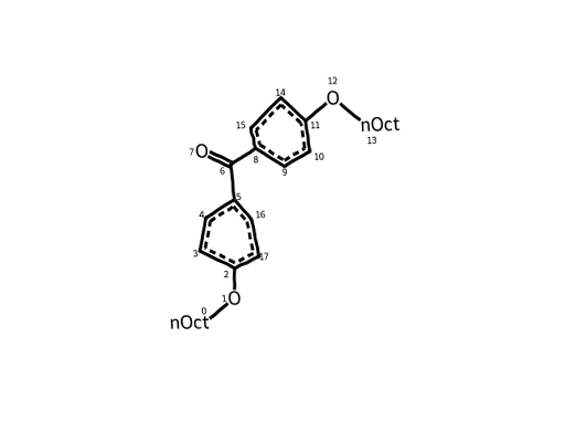 CCCCCCCCOc1ccc(C(=O)c2ccc(OCCCCCCCC)cc2)cc1